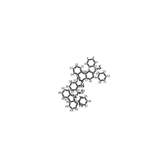 S=P(c1ccccc1)(c1ccccc1)c1ccc2c(c1)c1ccccc1n1c3cccc(P(=S)(c4cccnc4)n4c5ccccc5c5ccccc54)c3nc21